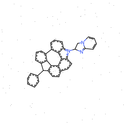 C1=CC2=NC(n3c4cccc5c4c4c6c7c(ccc6ccc43)C(c3ccccc3)c3cccc-5c3-7)CN2C=C1